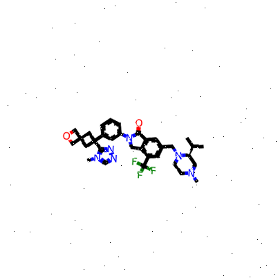 CC(C)[C@H]1CN(C)CCN1Cc1cc2c(c(C(F)(F)F)c1)CN(c1cccc(C3(c4nncn4C)CC4(COC4)C3)c1)C2=O